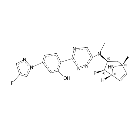 CN(c1cnc(-c2ccc(-n3cc(F)cn3)cc2O)nn1)[C@H]1C[C@]2(C)C=C[C@@H](N2)[C@H]1F